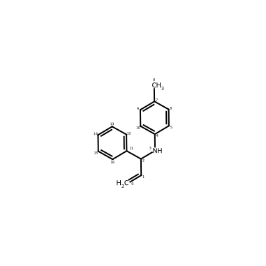 C=CC(Nc1ccc(C)cc1)c1ccccc1